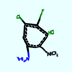 Cl.Nc1cc(Cl)c(F)cc1[N+](=O)[O-]